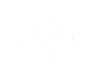 Clc1ccc(CN2CCCC(c3ccnc4c(CNCC5CCOCC5)c(C5CC5)nn34)C2)cc1